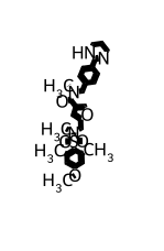 COc1cc(C)c(S(=O)(=O)N(C)Cc2cc(C(=O)N(C)Cc3ccc(C4=NCCCN4)cc3)co2)c(C)c1